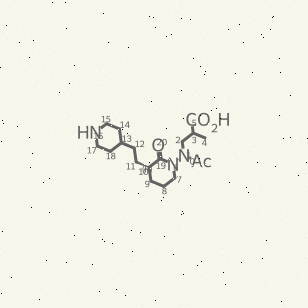 CC(=O)N(CC(C)C(=O)O)N1CCC[C@@H](CCC2CCNCC2)C1=O